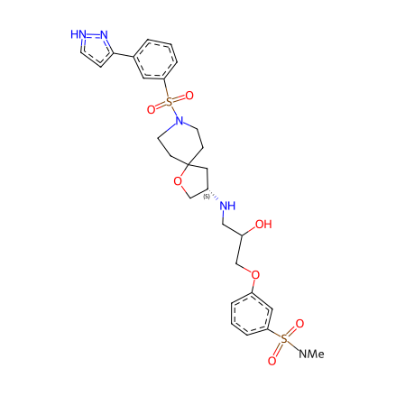 CNS(=O)(=O)c1cccc(OCC(O)CN[C@@H]2COC3(CCN(S(=O)(=O)c4cccc(-c5cc[nH]n5)c4)CC3)C2)c1